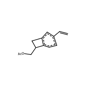 C=Cc1ccc2c(c1)CC2COC(C)=O